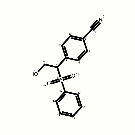 N#Cc1ccc(C(CO)S(=O)(=O)c2ccccc2)cc1